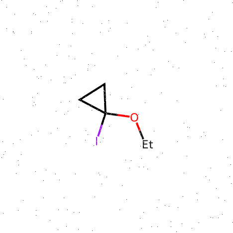 CCOC1(I)CC1